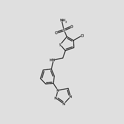 NS(=O)(=O)c1sc(CNc2cccc(-n3cnnn3)c2)cc1Cl